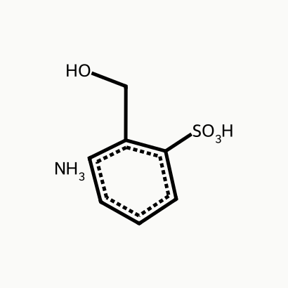 N.O=S(=O)(O)c1ccccc1CO